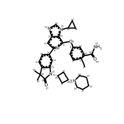 Cc1ccc(Oc2nc(-c3ccc4c(c3)N([C@H]3C[C@@H](N5CCCCC5)C3)C(=O)C4(C)C)cc3ncn(C4CC4)c23)cc1C(N)=O